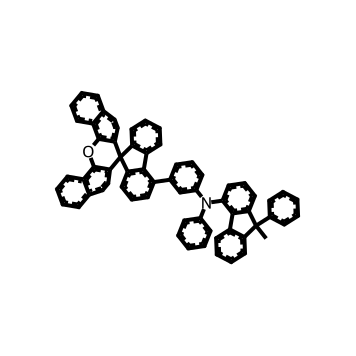 CC1(c2ccccc2)c2ccccc2-c2c(N(c3ccccc3)c3cccc(-c4cccc5c4-c4ccccc4C54c5ccc6ccccc6c5Oc5c4ccc4ccccc54)c3)cccc21